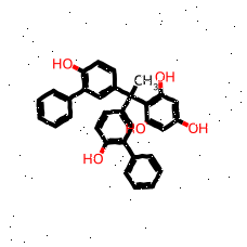 CC(c1ccc(O)c(-c2ccccc2)c1)(c1ccc(O)c(-c2ccccc2)c1)c1c(O)cc(O)cc1O